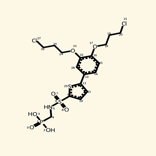 O=P(O)(O)CNS(=O)(=O)c1ccc(-c2ccc(OCCCCl)c(OCCCCl)c2)s1